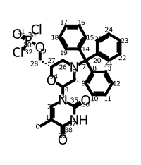 Cc1cn(C2CN(C(c3ccccc3)(c3ccccc3)c3ccccc3)C[C@@H](COP(=O)(Cl)Cl)O2)c(=O)[nH]c1=O